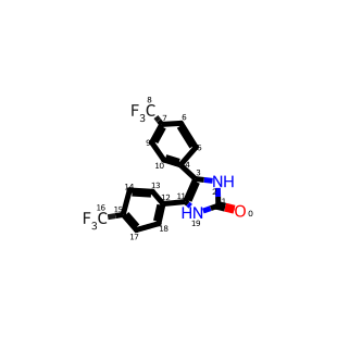 O=c1[nH]c(-c2ccc(C(F)(F)F)cc2)c(-c2ccc(C(F)(F)F)cc2)[nH]1